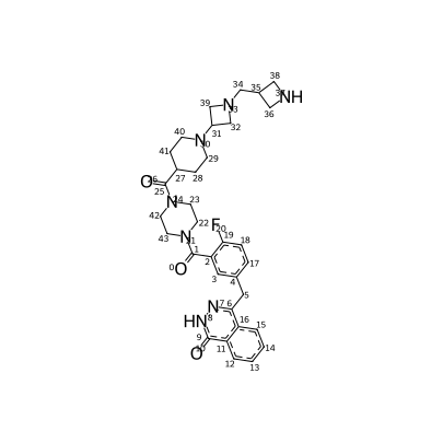 O=C(c1cc(Cc2n[nH]c(=O)c3ccccc23)ccc1F)N1CCN(C(=O)C2CCN(C3CN(CC4CNC4)C3)CC2)CC1